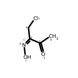 CC(=O)/C(CCl)=N\O